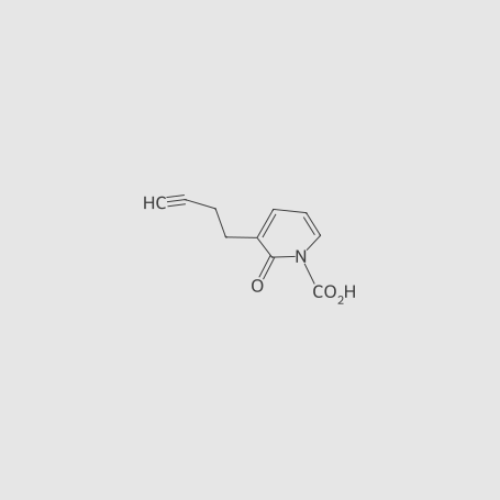 C#CCCc1cccn(C(=O)O)c1=O